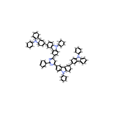 c1ccc(-c2nc(-c3ccc4c(c3)c3cc(-c5ccc6c(c5)c5ccccc5n6-c5ccccc5)ccc3n4-c3ccccc3)cc(-c3ccc4c(c3)c3cc(-c5ccc6c(c5)c5ccccc5n6-c5ccccc5)ccc3n4-c3ccccc3)n2)cc1